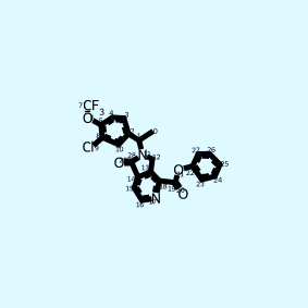 CC(c1ccc(OC(F)(F)F)c(Cl)c1)N1Cc2c(ccnc2C(=O)Oc2ccccc2)C1=O